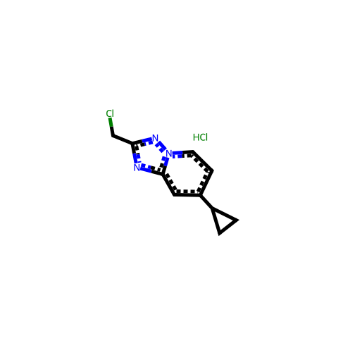 Cl.ClCc1nc2cc(C3CC3)ccn2n1